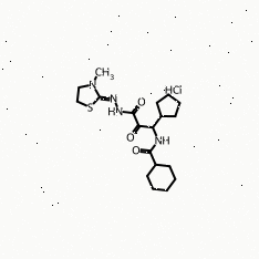 CN1CCS/C1=N\NC(=O)C(=O)C(NC(=O)C1CCCCC1)C1CCCC1.Cl